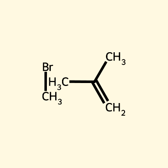 C=C(C)C.CBr